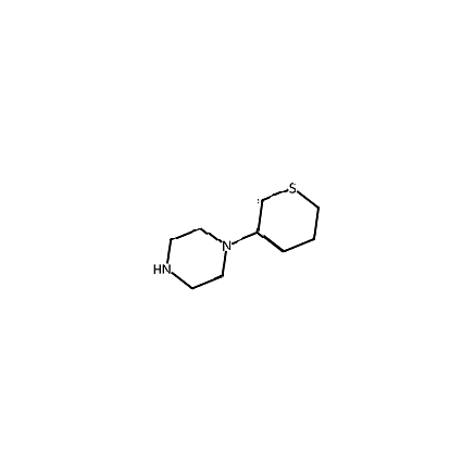 [C]1SCCCC1N1CCNCC1